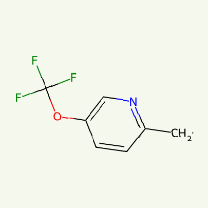 [CH2]c1ccc(OC(F)(F)F)cn1